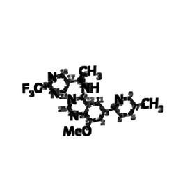 COc1cc(-c2ccc(C)cn2)cc2c(N[C@H](C)c3cnc(C(F)(F)F)nc3)ncnc12